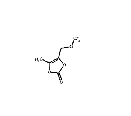 Cc1oc(=O)oc1COC(F)(F)F